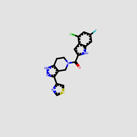 O=C(c1cc2c(Cl)cc(F)cc2[nH]1)N1CCc2[nH]nc(-c3cscn3)c2C1